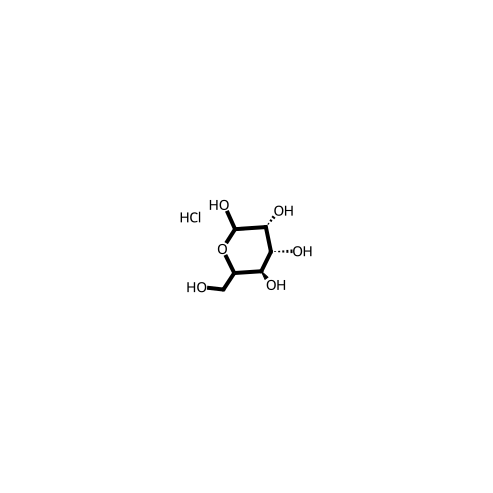 Cl.OCC1OC(O)[C@H](O)[C@H](O)[C@H]1O